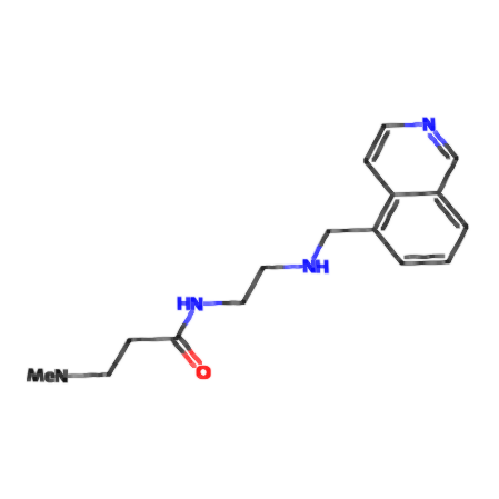 CNCCC(=O)NCCNCc1cccc2cnccc12